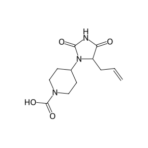 C=CCC1C(=O)NC(=O)N1C1CCN(C(=O)O)CC1